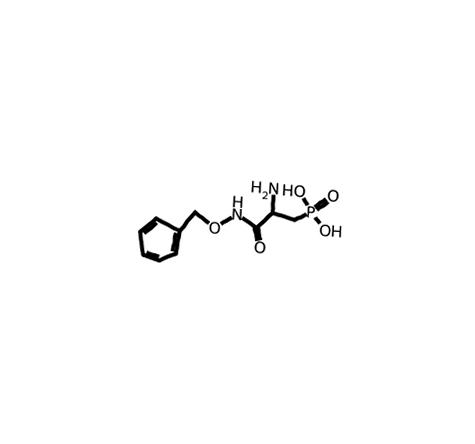 NC(CP(=O)(O)O)C(=O)NOCc1ccccc1